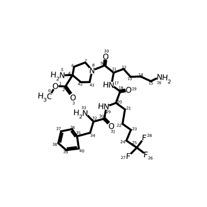 COC(=O)C1(N)CCN(C(=O)C(CCCCN)NC(=O)C(CCCCC(F)(F)F)NC(=O)C(N)Cc2ccccc2)CC1